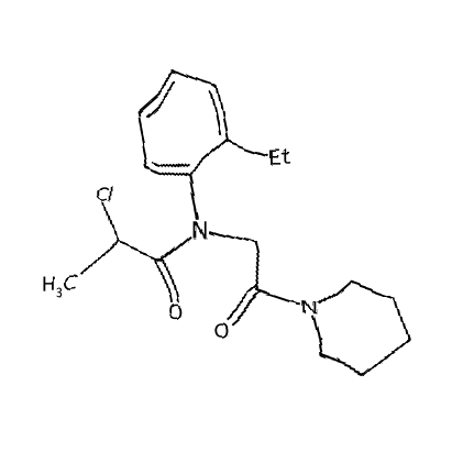 CCc1ccccc1N(CC(=O)N1CCCCC1)C(=O)C(C)Cl